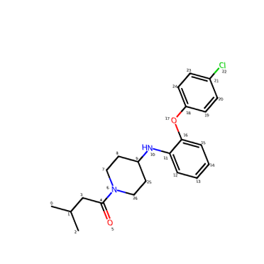 CC(C)CC(=O)N1CCC(Nc2ccccc2Oc2ccc(Cl)cc2)CC1